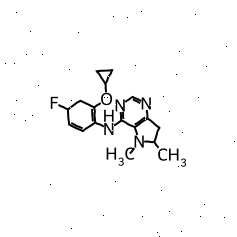 CC1Cc2ncnc(NC3=C(OC4CC4)CC(F)C=C3)c2N1C